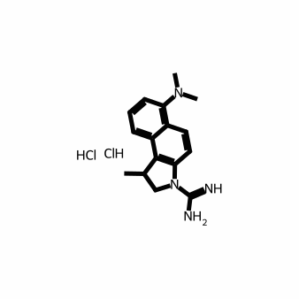 CC1CN(C(=N)N)c2ccc3c(N(C)C)cccc3c21.Cl.Cl